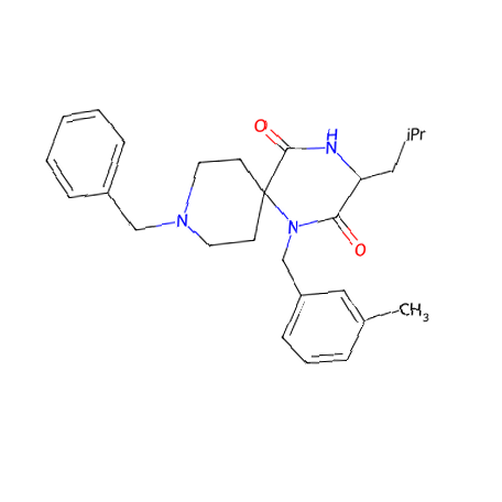 Cc1cccc(CN2C(=O)C(CC(C)C)NC(=O)C23CCN(Cc2ccccc2)CC3)c1